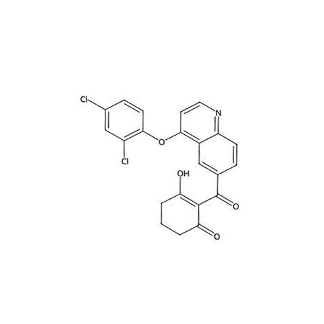 O=C1CCCC(O)=C1C(=O)c1ccc2nccc(Oc3ccc(Cl)cc3Cl)c2c1